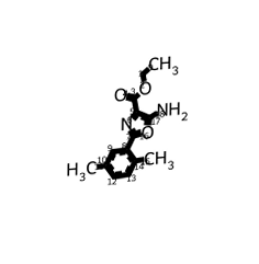 CCOC(=O)c1nc(-c2cc(C)ccc2C)oc1N